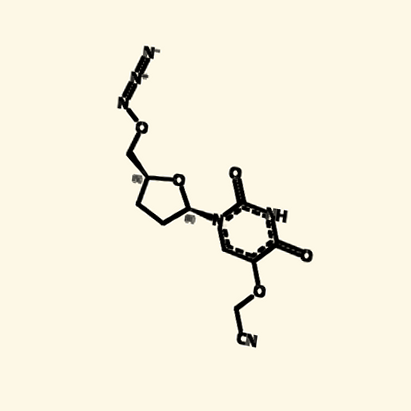 N#CCOc1cn([C@H]2CC[C@@H](CON=[N+]=[N-])O2)c(=O)[nH]c1=O